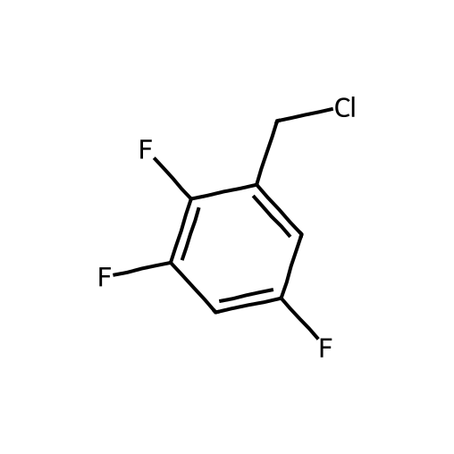 Fc1cc(F)c(F)c(CCl)c1